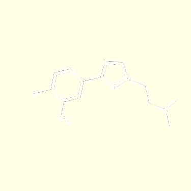 CN(C)CCn1cnc(-c2ccc(F)c(C(F)(F)F)c2)c1